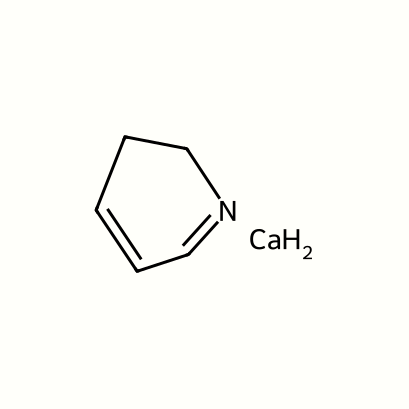 C1=CCCN=C1.[CaH2]